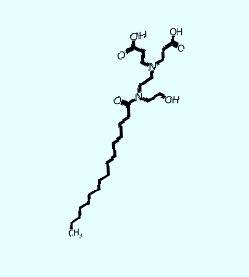 CCCCCCCCCCCCCCCC(=O)N(CCO)CCN(CCC(=O)O)CCC(=O)O